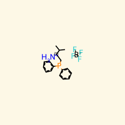 CC(C)[C@H]([NH3+])CP(c1ccccc1)c1ccccc1.F[B-](F)(F)F